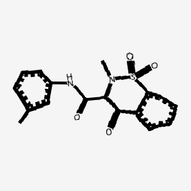 Cc1cccc(NC(=O)C2C(=O)c3ccccc3S(=O)(=O)N2C)c1